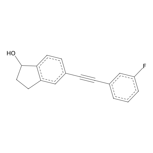 OC1CCc2cc(C#Cc3cccc(F)c3)ccc21